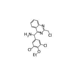 CCOc1c(Cl)cc(C(N)c2nc(CCl)nc3ccccc23)cc1Cl